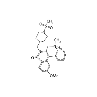 COc1ccc2c(=O)n(CC3CCN(S(C)(=O)=O)CC3)c(CN(C)C)c(-c3ccccc3)c2c1